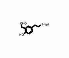 CCCCCCCCCc1ccc(O)c(CC=O)c1